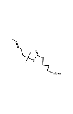 CC=CCCC(C)(C)SC(=S)SCCCCCCCCCCCC